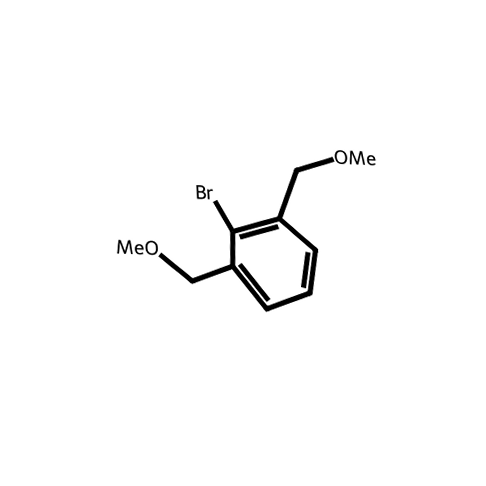 COCc1cccc(COC)c1Br